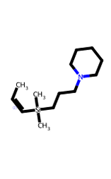 C/C=C\[Si](C)(C)CCCN1CCCCC1